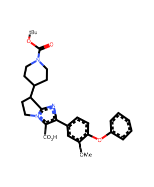 COc1cc(-c2nc3n(c2C(=O)O)CCC3C2CCN(C(=O)OC(C)(C)C)CC2)ccc1Oc1ccccc1